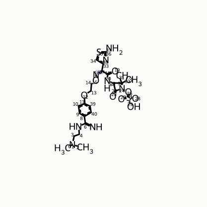 CN(C)CCNC(=N)c1ccc(OCCO/N=C(\C(=O)N[C@@H]2C(=O)N(OS(=O)(=O)O)C2(C)C)c2csc(N)n2)cc1